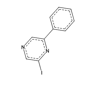 Ic1cncc(-c2ccccc2)n1